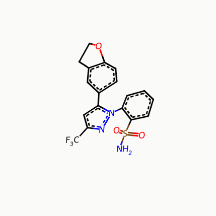 NS(=O)(=O)c1ccccc1-n1nc(C(F)(F)F)cc1-c1ccc2c(c1)CCO2